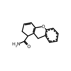 NC(=O)C1CC=CC2=C1Cc1ccccc1O2